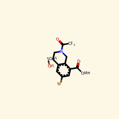 COC(=O)c1cc(Br)cc2c1CN(C(=O)C(F)(F)F)CC2.O=S(=O)(O)O